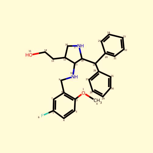 COc1ccc(F)cc1CNC1C(CCO)CNC1C(c1ccccc1)c1ccccc1